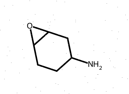 NC1CCC2OC2C1